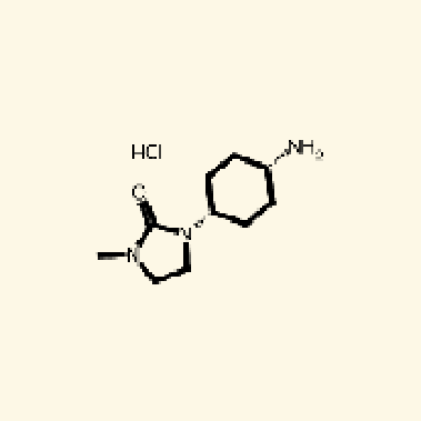 CN1CCN([C@H]2CC[C@@H](N)CC2)C1=O.Cl